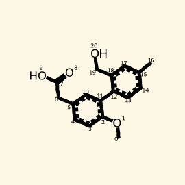 COc1ccc(CC(=O)O)cc1-c1ccc(C)cc1CO